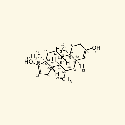 C[C@H]1C[C@@H]2C=C(O)CC[C@]2(C)[C@H]2CC[C@]3(C)C(O)=CC[C@H]3[C@H]12